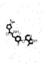 Cc1c[nH]c2nccc(Oc3ccc(C[C@H](N)C(=O)C4CC[C@@H](N(C)C)C4)cc3F)c12